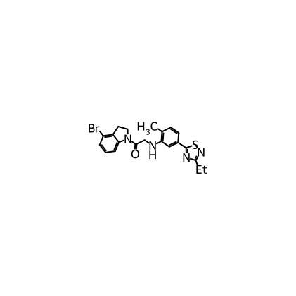 CCc1nsc(-c2ccc(C)c(NCC(=O)N3CCc4c(Br)cccc43)c2)n1